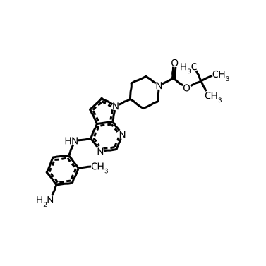 Cc1cc(N)ccc1Nc1ncnc2c1ccn2C1CCN(C(=O)OC(C)(C)C)CC1